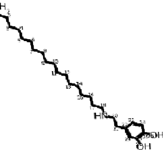 NCCCCCCCCCCCCCCCCCCNCCc1ccc(O)c(O)c1